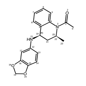 CC(=O)N1c2ccccc2[C@H](Nc2ccc3c(c2)OCO3)C[C@@H]1C